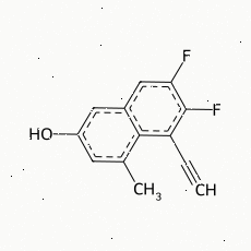 C#Cc1c(F)c(F)cc2cc(O)cc(C)c12